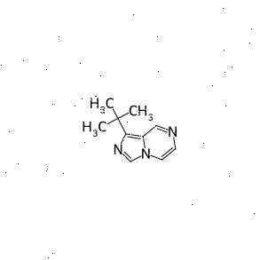 CC(C)(C)c1ncn2ccncc12